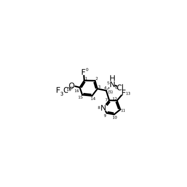 Fc1cc([C@H](NCl)c2ncccc2F)ccc1OC(F)(F)F